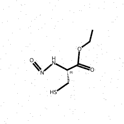 CCOC(=O)[C@H](CS)NN=O